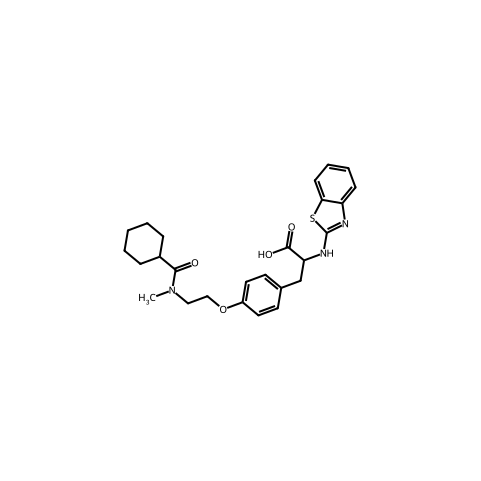 CN(CCOc1ccc(CC(Nc2nc3ccccc3s2)C(=O)O)cc1)C(=O)C1CCCCC1